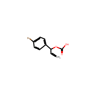 C=CC(OC(=O)O)c1ccc(Br)cc1